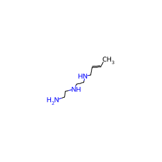 CC=CCNCCNCCN